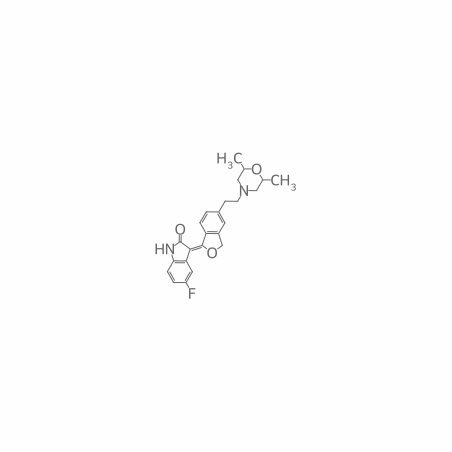 CC1CN(CCc2ccc3c(c2)COC3=C2C(=O)Nc3ccc(F)cc32)CC(C)O1